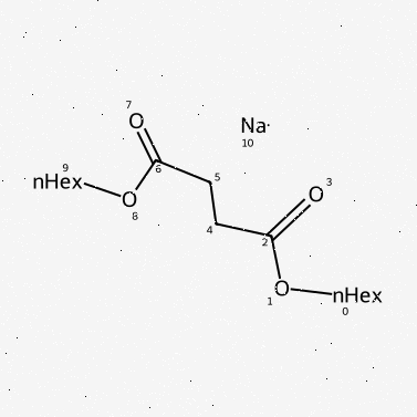 CCCCCCOC(=O)CCC(=O)OCCCCCC.[Na]